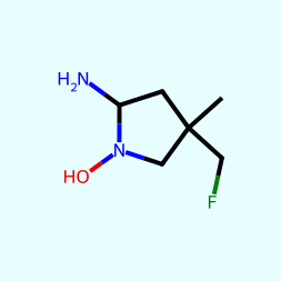 CC1(CF)CC(N)N(O)C1